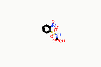 O=C(O)NS(=O)(=O)c1ccccc1[N+](=O)[O-]